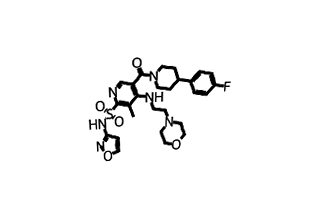 Cc1c(S(=O)(=O)Nc2ccon2)ncc(C(=O)N2CCC(c3ccc(F)cc3)CC2)c1NCCN1CCOCC1